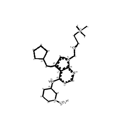 C[Si](C)(C)CCOCn1cc(CC2CCCC2)c2c(NC3CCCN(C(=O)O)C3)ncnc21